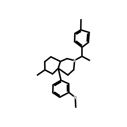 COc1cccc(C23CCN(C(C)c4ccc(C)cc4)CC2CCC(C)C3)c1